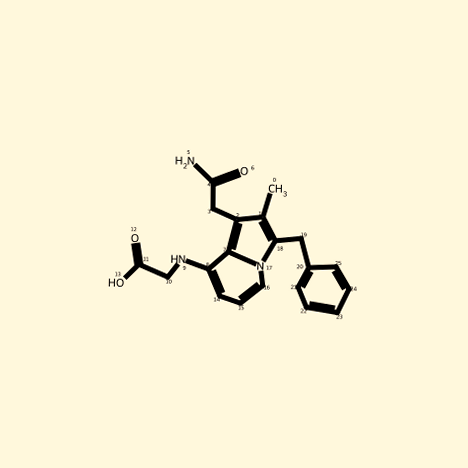 Cc1c(CC(N)=O)c2c(NCC(=O)O)cccn2c1Cc1ccccc1